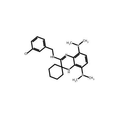 CN(C)c1ccc(N(C)C)c2c1N=C(NCc1cccc(Cl)c1)C1(CCCCC1)N2